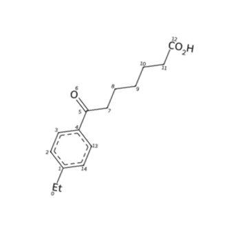 CCc1ccc(C(=O)CCCCCC(=O)O)cc1